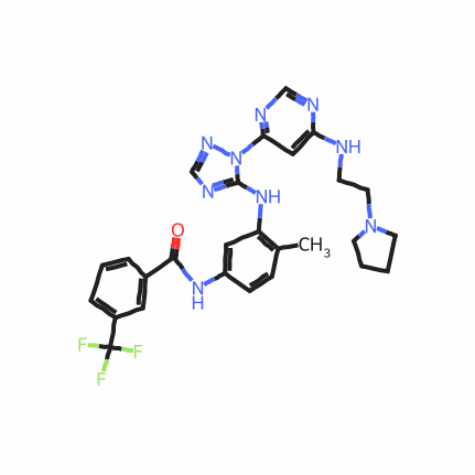 Cc1ccc(NC(=O)c2cccc(C(F)(F)F)c2)cc1Nc1ncnn1-c1cc(NCCN2CCCC2)ncn1